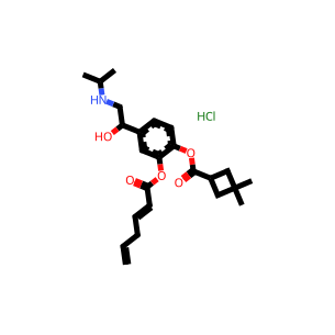 C=CCC=CC(=O)Oc1cc(C(O)CNC(C)C)ccc1OC(=O)C1CC(C)(C)C1.Cl